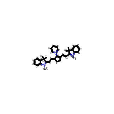 CCN1/C(=C/C=C2\CCC(/C=C/C3=[N+](CC)c4ccccc4C3(C)C)=C2[n+]2ccccc2)C(C)(C)c2ccccc21